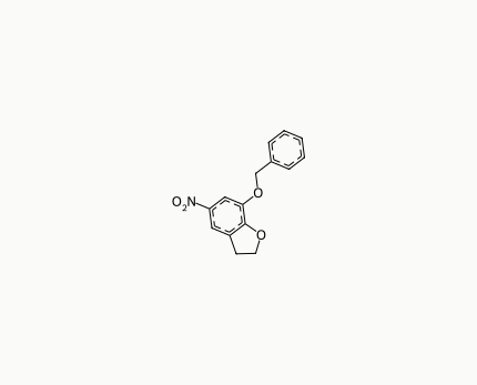 O=[N+]([O-])c1cc2c(c(OCc3ccccc3)c1)OCC2